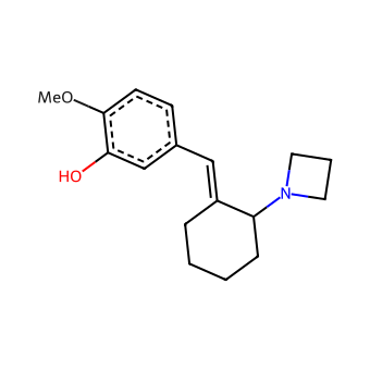 COc1ccc(C=C2CCCCC2N2CCC2)cc1O